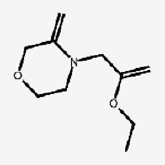 C=C(CN1CCOCC1=C)OCC